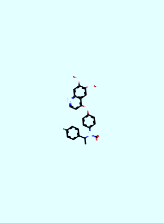 COc1cc2nccc(Oc3ccc(N(C(=O)O)C(C)c4ccc(F)cc4)cc3)c2cc1OC